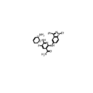 CCn1nc(C(C)C)c2cc(Nc3nc(N[C@@H]4CCC=C[C@@H]4N)c(F)cc3C(N)=O)ccc21